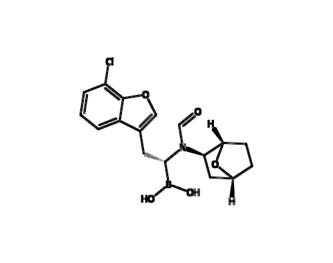 O=CN([C@@H]1C[C@H]2CC[C@@H]1O2)[C@@H](Cc1coc2c(Cl)cccc12)B(O)O